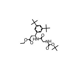 CCOC(=O)C[C@H](NC(=O)CNC(=O)OC(C)(C)C)c1cc(C(C)(C)C)cc(C(C)(C)C)c1